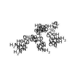 C[n+]1cn([C@@H]2O[C@H](COP(=O)(O)OP(=O)(O)OP(=O)(O)OC[C@H]3O[C@@H](n4cnc5c(N)ncnc54)[C@H](F)[C@@H]3OP(=O)([O-])OC[C@H]3O[C@@H](n4cnc5c(N)nc(N)nc54)[C@H](O)[C@@H]3O)[C@@H](CCN3CCOCC3)[C@H]2O)c2nc(N)[nH]c(=O)c21